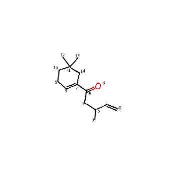 C=CC(C)CC(=O)C1=CCCC(C)(C)C1